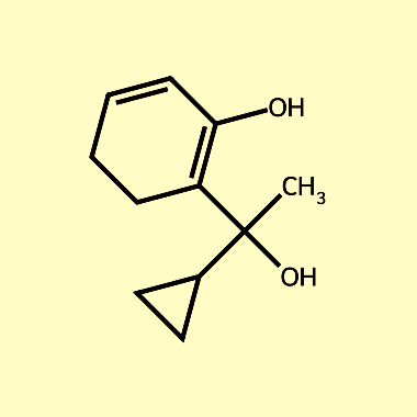 CC(O)(C1=C(O)C=CCC1)C1CC1